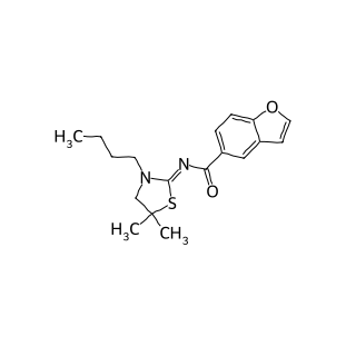 CCCCN1CC(C)(C)SC1=NC(=O)c1ccc2occc2c1